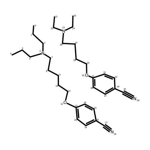 CCCN(CCC)CCCCCOc1ccc(C#N)cc1.CCN(CC)CCCCOc1ccc(C#N)cc1